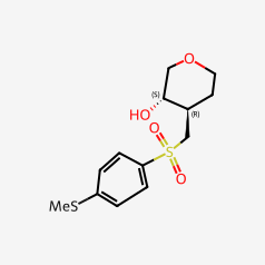 CSc1ccc(S(=O)(=O)C[C@@H]2CCOC[C@H]2O)cc1